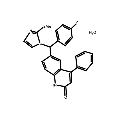 CSc1nccn1C(c1ccc(Cl)cc1)c1ccc2[nH]c(=O)cc(-c3ccccc3)c2c1.O